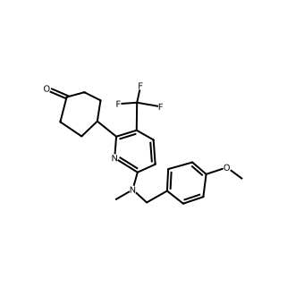 COc1ccc(CN(C)c2ccc(C(F)(F)F)c(C3CCC(=O)CC3)n2)cc1